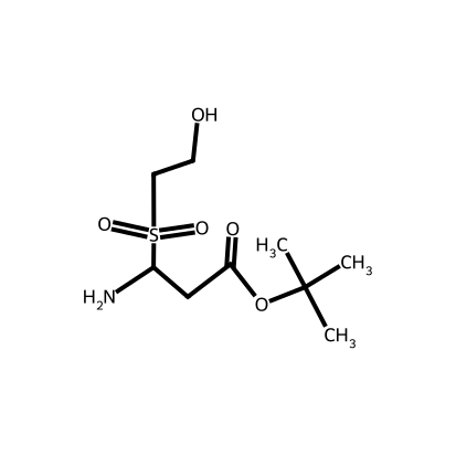 CC(C)(C)OC(=O)CC(N)S(=O)(=O)CCO